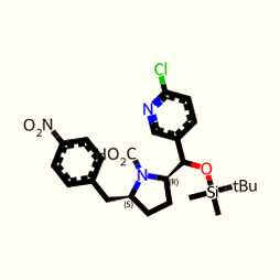 CC(C)(C)[Si](C)(C)OC(c1ccc(Cl)nc1)[C@H]1CC[C@@H](Cc2ccc([N+](=O)[O-])cc2)N1C(=O)O